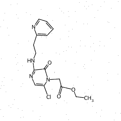 CCOC(=O)Cn1c(Cl)cnc(NCCc2ccccn2)c1=O